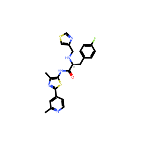 Cc1cc(-c2nc(C)c(NC(=O)[C@H](Cc3ccc(F)cc3)NCc3cscn3)s2)ccn1